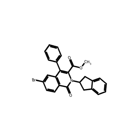 COC(=O)c1c(-c2ccccc2)c2cc(Br)ccc2c(=O)n1C1Cc2ccccc2C1